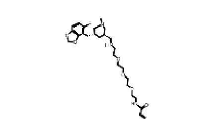 C=CC(=O)NCCOCCOCCOCCNC[C@H]1C[C@H](Cc2c(F)ccc3c2OCO3)CN(C)C1